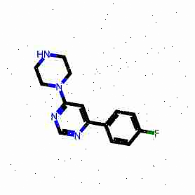 Fc1ccc(-c2cc(N3CCNCC3)ncn2)cc1